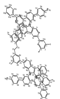 Cc1cc(C)cc(-c2ccc3c(c2)c2cc(-c4cc(C)cc(CCc5cc(C)cc(-c6ccc7c8ccc(-c9cc(C)cc(C)c9)cc8n(-c8cc(-c9ccc(F)cc9)ccc8-c8nc(-c9ccccc9)nc(-c9ccccc9)n8)c7c6)c5)c4)ccc2n3-c2cc(-c3ccc(F)cc3)ccc2-c2nc(-c3ccccc3)nc(-c3ccccc3)n2)c1